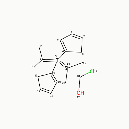 C[C](C)=[Ti]([C]1=CC=CC1)([C]1=CC=CC1)=[Si](C)C.OCCl